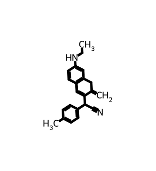 C=C1Cc2cc(NCC)ccc2C=C1C(C#N)c1ccc(C)cc1